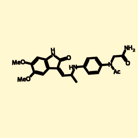 COc1cc2c(cc1OC)C(=CC(C)Nc1ccc(N(CC(N)=O)C(C)=O)cc1)C(=O)N2